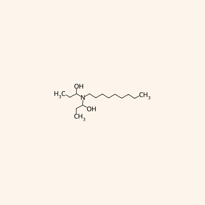 CCCCCCCCCN(C(O)CC)C(O)CC